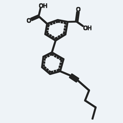 CCCCC#Cc1cccc(-c2cc(C(=O)O)cc(C(=O)O)c2)c1